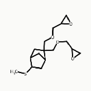 CSC1CC2CC1CC2(COCC1CO1)COCC1CO1